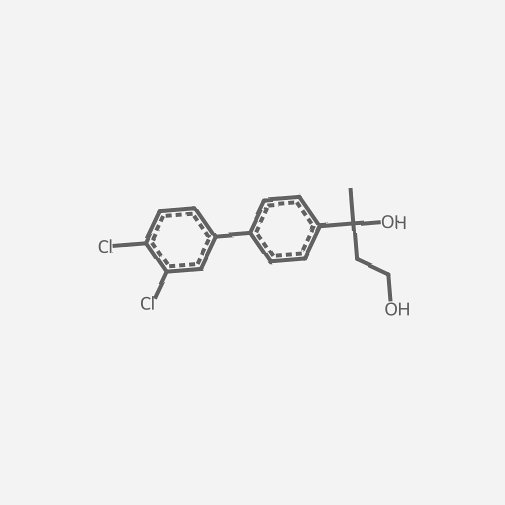 CC(O)(CCO)c1ccc(-c2ccc(Cl)c(Cl)c2)cc1